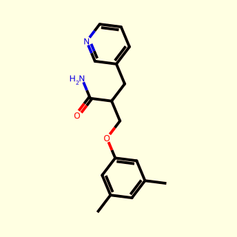 Cc1cc(C)cc(OC[C](Cc2cccnc2)C(N)=O)c1